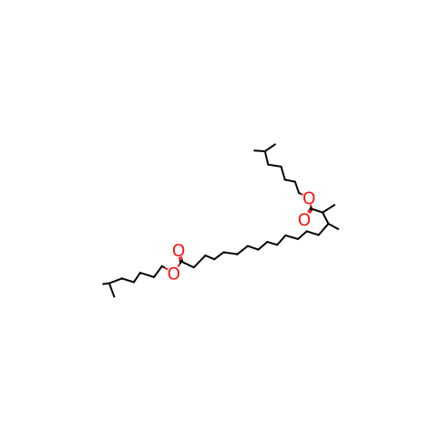 CC(C)CCCCCOC(=O)CCCCCCCCCCCCCC(C)C(C)C(=O)OCCCCCC(C)C